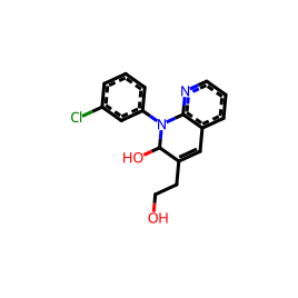 OCCC1=Cc2cccnc2N(c2cccc(Cl)c2)C1O